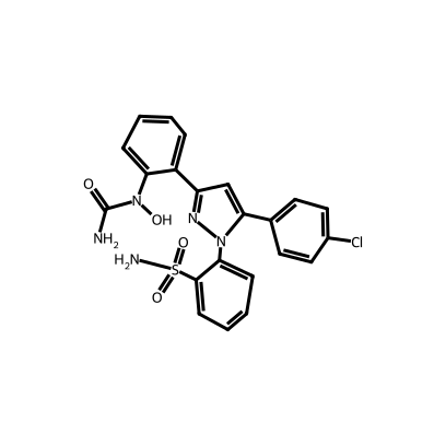 NC(=O)N(O)c1ccccc1-c1cc(-c2ccc(Cl)cc2)n(-c2ccccc2S(N)(=O)=O)n1